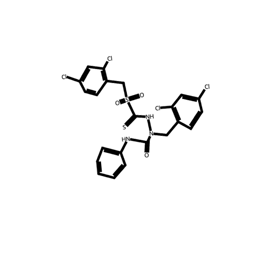 O=C(Nc1ccccc1)N(Cc1ccc(Cl)cc1Cl)NC(=S)S(=O)(=O)Cc1ccc(Cl)cc1Cl